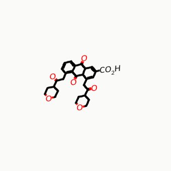 O=C(O)C1=CC2C(=O)c3cccc(CC(=O)C4CCOCC4)c3C(=O)C2C(CC(=O)C2CCOCC2)=C1